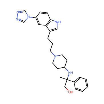 CC(CO)(NC1CCN(CCCc2c[nH]c3ccc(-n4cnnc4)cc23)CC1)c1ccccc1